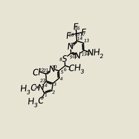 Cc1cc2cc(C(C)Sc3nc(N)cc(C(F)(F)F)n3)nc(Cl)c2n1C